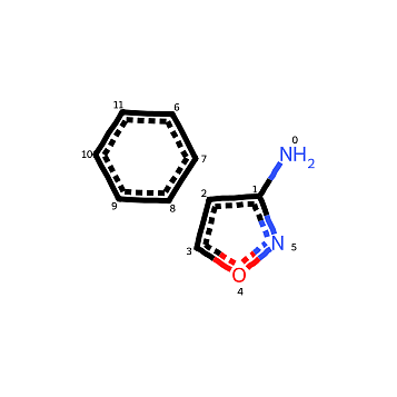 Nc1ccon1.c1ccccc1